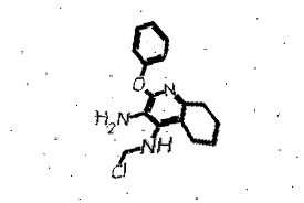 Nc1c(Oc2ccccc2)nc2c(c1NCCl)CCCC2